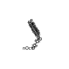 CCCCCCCCOc1ccc(-c2ccc(C(=O)OCC(F)(F)C(F)(F)C(F)(F)C(F)(F)C(F)(F)C(F)(F)C(F)(F)C(F)(F)C(F)(F)C(F)F)cc2)cc1